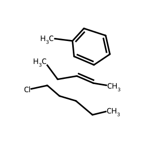 CC=CCC.CCCCCCl.Cc1ccccc1